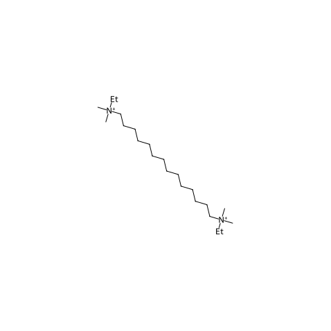 CC[N+](C)(C)CCCCCCCCCCCCCC[N+](C)(C)CC